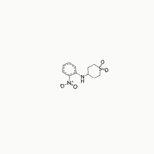 O=[N+]([O-])c1ccccc1NC1CCS(=O)(=O)CC1